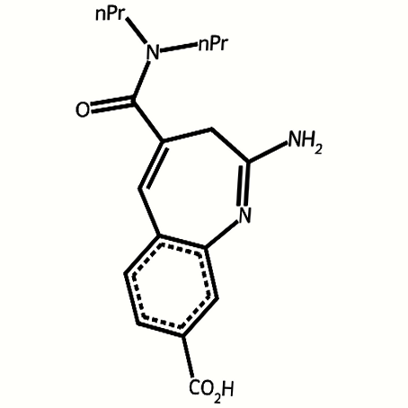 CCCN(CCC)C(=O)C1=Cc2ccc(C(=O)O)cc2N=C(N)C1